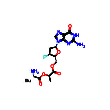 CC[C@H](C)[C@H](N)C(=O)OC(C)C(=O)OC[C@H]1O[C@@H](n2cnc3c(=O)[nH]c(N)nc32)C[C@@H]1F